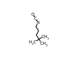 CC(C)(C)CCCN=C=O